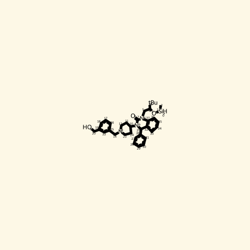 C[SiH](C)OC(CN1C(=O)N(C2CCN(Cc3cccc(CO)c3)CC2)C(c2ccccc2)c2ccccc21)C(C)(C)C